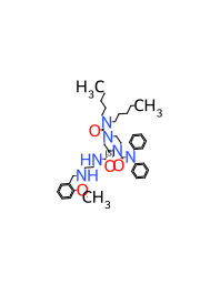 CCCCCN(CCCCC)C(=O)N1CCN(C(=O)N(c2ccccc2)c2ccccc2)[C@H](C(=O)NCCNCc2ccccc2OC)C1